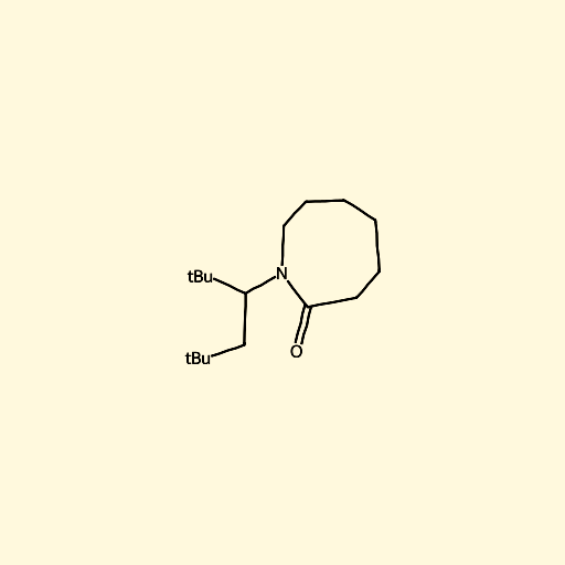 CC(C)(C)CC(N1CCCCCCC1=O)C(C)(C)C